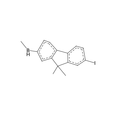 CBc1ccc2c(c1)C(C)(C)c1cc(I)ccc1-2